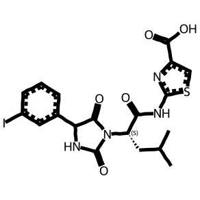 CC(C)C[C@@H](C(=O)Nc1nc(C(=O)O)cs1)N1C(=O)NC(c2cccc(I)c2)C1=O